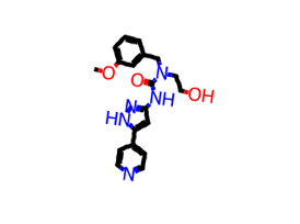 COc1cccc(CN(CCO)C(=O)Nc2cc(-c3ccncc3)[nH]n2)c1